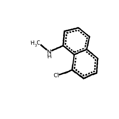 CNc1cccc2cccc(Cl)c12